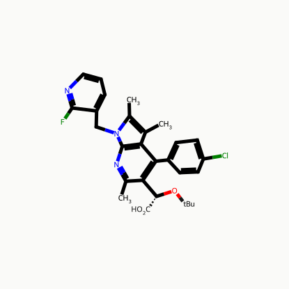 Cc1nc2c(c(C)c(C)n2Cc2cccnc2F)c(-c2ccc(Cl)cc2)c1[C@H](OC(C)(C)C)C(=O)O